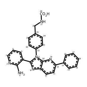 Nc1ncccc1-c1nc2ccc(-c3ccccc3)nc2n1-c1ccc(CNC(=O)O)cc1